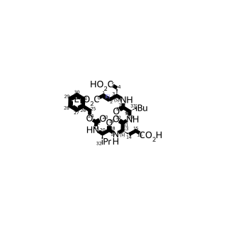 CCOC(=O)/C=C/[C@H](CC(=O)O)NC(=O)[C@@H](NC(=O)[C@H](CCC(=O)O)NC(=O)[C@@H](NC(=O)OCc1ccccc1)C(C)C)C(C)CC